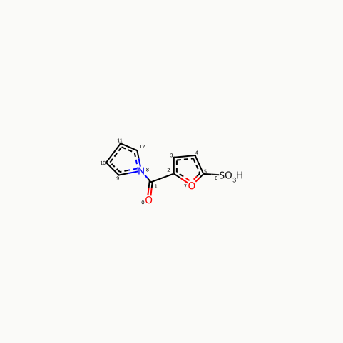 O=C(c1ccc(S(=O)(=O)O)o1)n1cccc1